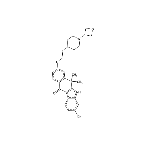 CC1(C)c2cc(OCCC3CCN(C4COC4)CC3)ccc2C(=O)c2c1[nH]c1cc(C#N)ccc21